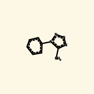 Nc1nnnn1-c1[c]cccc1